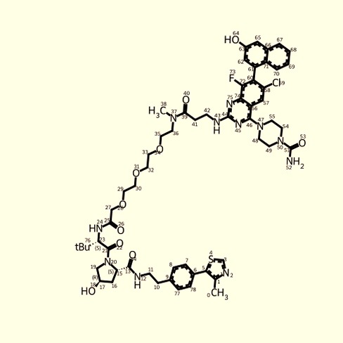 Cc1ncsc1-c1ccc(CCNC(=O)[C@@H]2C[C@@H](O)CN2C(=O)[C@@H](NC(=O)COCCOCCOCCN(C)C(=O)CCNc2nc(N3CCN(C(N)=O)CC3)c3cc(Cl)c(-c4cc(O)cc5ccccc45)c(F)c3n2)C(C)(C)C)cc1